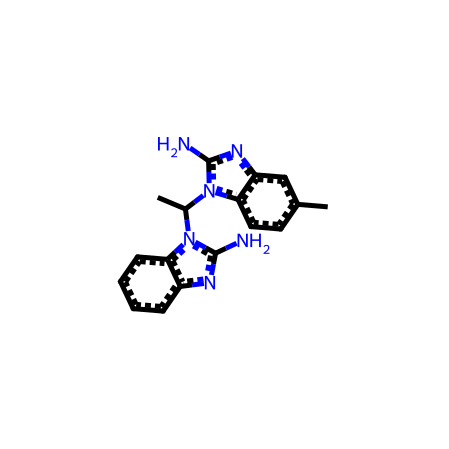 Cc1ccc2c(c1)nc(N)n2C(C)n1c(N)nc2ccccc21